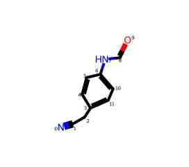 N#CCc1ccc(NC=O)cc1